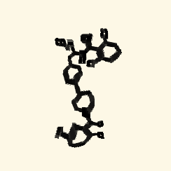 O=C(N[C@@H](Cc1ccc(C2=CCN(C(=O)c3cc(F)ccc3Cl)CC2)cc1)C(=O)O)c1c(Cl)cccc1Cl